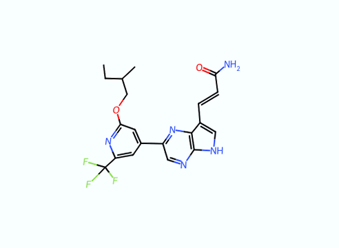 CCC(C)COc1cc(-c2cnc3[nH]cc(C=CC(N)=O)c3n2)cc(C(F)(F)F)n1